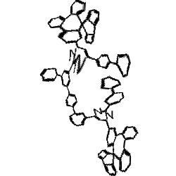 c1ccc(-c2ccc(-c3cc(-c4ccc5c(c4)C4(c6ccccc6-c6ccccc6-5)c5ccccc5-c5ccccc54)nc(-c4cc(-c5ccccc5)cc(-c5ccc(-c6cccc(-c7cc(-c8ccc9c(c8)-c8ccccc8-c8ccccc8C98c9ccccc9-c9ccccc98)nc(-c8cccc(-c9ccccc9)c8)n7)c6)cc5)c4)n3)cc2)cc1